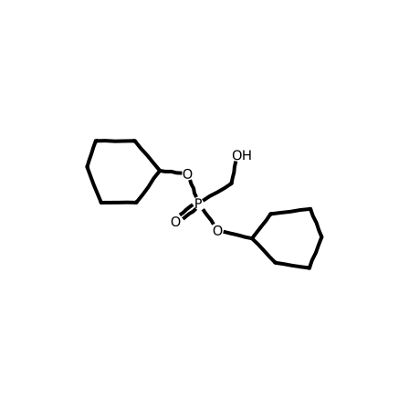 O=P(CO)(OC1CCCCC1)OC1CCCCC1